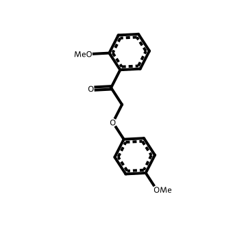 COc1ccc(OCC(=O)c2ccccc2OC)cc1